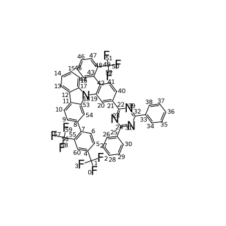 FC(F)(F)c1ccc(-c2ccc3c4ccccc4n(-c4cc(-c5nc(-c6ccccc6)nc(-c6ccccc6)n5)ccc4-c4ccccc4C(F)(F)F)c3c2)c(C(F)(F)F)c1